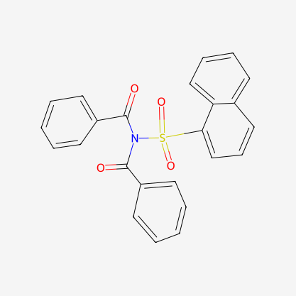 O=C(c1ccccc1)N(C(=O)c1ccccc1)S(=O)(=O)c1cccc2ccccc12